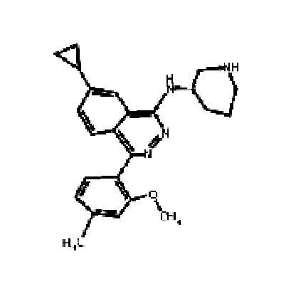 COc1cc(C)ccc1-c1nnc(N[C@@H]2CCCNC2)c2cc(C3CC3)ccc12